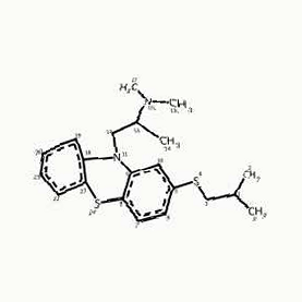 CC(C)CSc1ccc2c(c1)N(CC(C)N(C)C)c1ccccc1S2